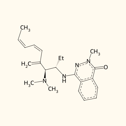 C=C(/C=C\C=C/C)[C@@H]([C@H](CC)Nc1nn(C)c(=O)c2ccccc12)N(C)C